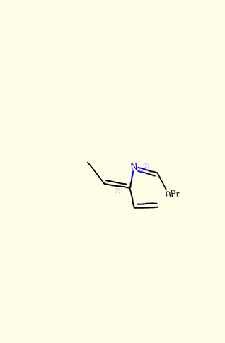 C=CC(=C/C)/N=C\CCC